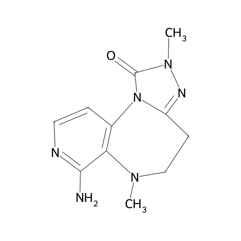 CN1CCc2nn(C)c(=O)n2-c2ccnc(N)c21